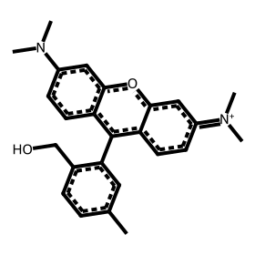 Cc1ccc(CO)c(-c2c3ccc(=[N+](C)C)cc-3oc3cc(N(C)C)ccc23)c1